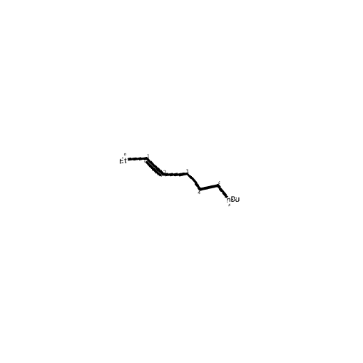 CCC=CC[CH]CCCCC